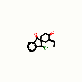 CC=C1CC2(CCC1=O)C(=O)c1ccccc1C2Br